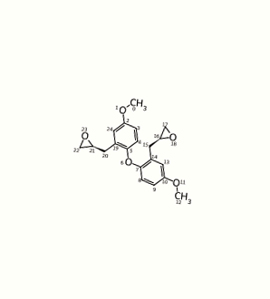 COc1ccc(Oc2ccc(OC)cc2C[C@H]2CO2)c(C[C@H]2CO2)c1